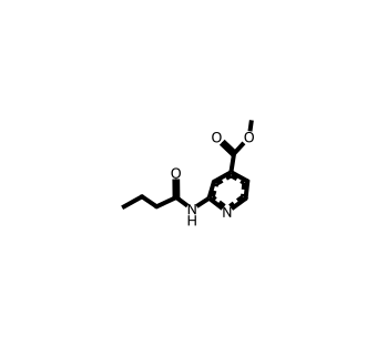 CCCC(=O)Nc1cc(C(=O)OC)ccn1